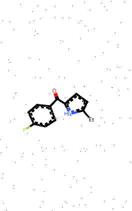 CCc1[c]cc(C(=O)c2ccc(F)cc2)[nH]1